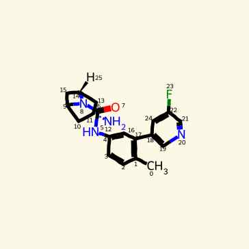 Cc1ccc(NC(=O)N2C3C[C@@H](N)C[C@H]2C3)cc1-c1cncc(F)c1